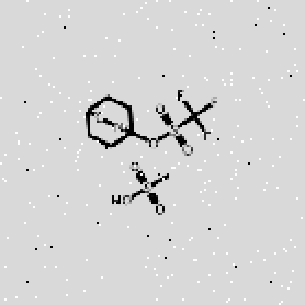 CS(=O)(=O)O.O=S(=O)(OC12CCC(CC1)CN2)C(F)(F)F